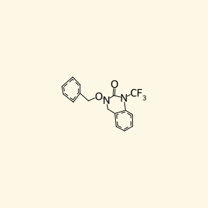 O=C1N(OCc2ccccc2)Cc2ccccc2N1C(F)(F)F